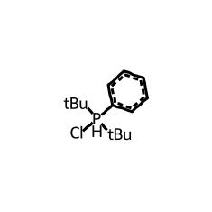 CC(C)(C)[PH](Cl)(c1ccccc1)C(C)(C)C